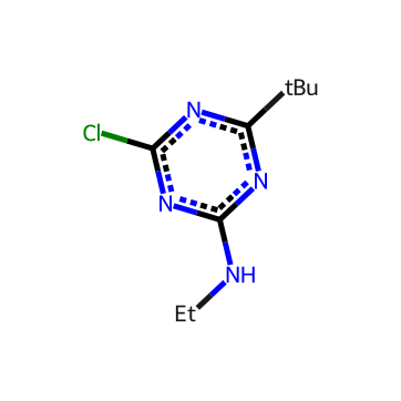 CCNc1nc(Cl)nc(C(C)(C)C)n1